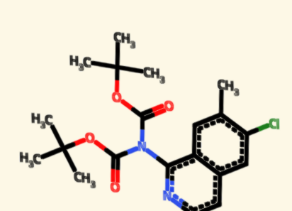 Cc1cc2c(N(C(=O)OC(C)(C)C)C(=O)OC(C)(C)C)nccc2cc1Cl